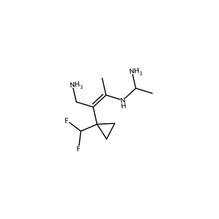 C/C(NC(C)N)=C(\CN)C1(C(F)F)CC1